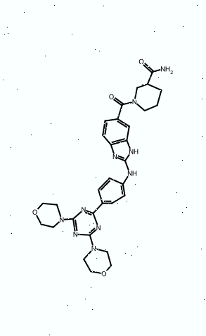 NC(=O)C1CCCN(C(=O)c2ccc3nc(Nc4ccc(-c5nc(N6CCOCC6)nc(N6CCOCC6)n5)cc4)[nH]c3c2)C1